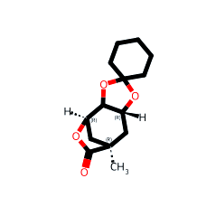 C[C@@]12C[C@@H](OC1=O)C1OC3(CCCCC3)O[C@@H]1C2